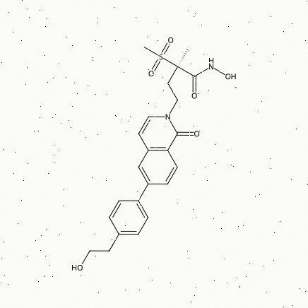 C[C@@](CCn1ccc2cc(-c3ccc(CCO)cc3)ccc2c1=O)(C(=O)NO)S(C)(=O)=O